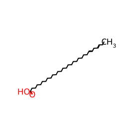 CCC=CCC=CCCCCCCCCCCCCCCCCCCCCCCC(=O)O